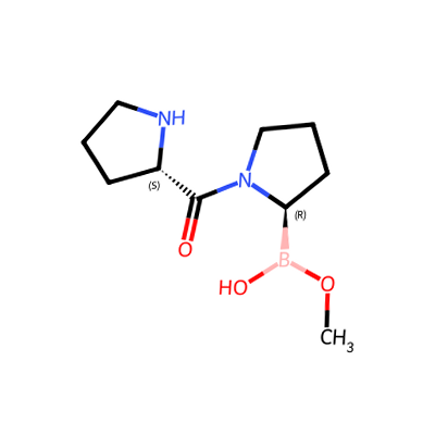 COB(O)[C@@H]1CCCN1C(=O)[C@@H]1CCCN1